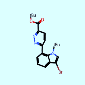 CC(C)(C)OC(=O)c1ccc(-c2cccc3c(Br)cn(C(C)(C)C)c23)nn1